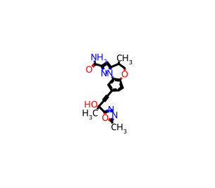 Cc1nnc(C(C)(O)C#Cc2ccc3c(c2)-n2nc(C(N)=O)cc2C(C)CO3)o1